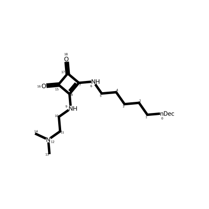 CCCCCCCCCCCCCCCNc1c(NCCN(C)C)c(=O)c1=O